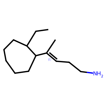 CCC1CCCCCC1/C(C)=C/CCN